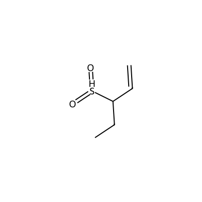 C=CC(CC)[SH](=O)=O